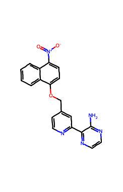 Nc1nccnc1-c1cc(COc2ccc([N+](=O)[O-])c3ccccc23)ccn1